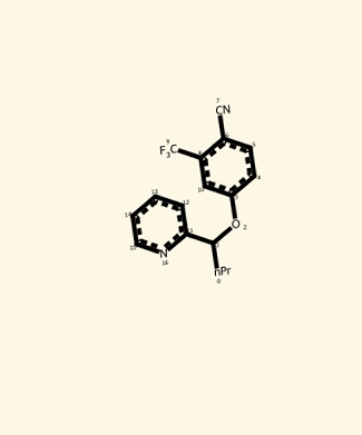 CCCC(Oc1ccc(C#N)c(C(F)(F)F)c1)c1ccccn1